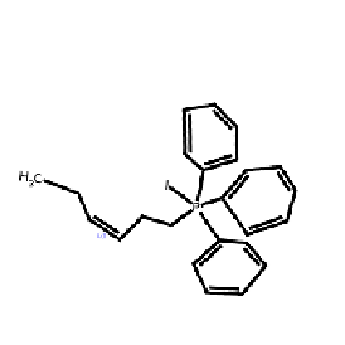 CC/C=C\CCP(I)(c1ccccc1)(c1ccccc1)c1ccccc1